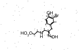 O=C(O)CCNC/C(Cc1ccc(O)c(Br)c1)=N/O